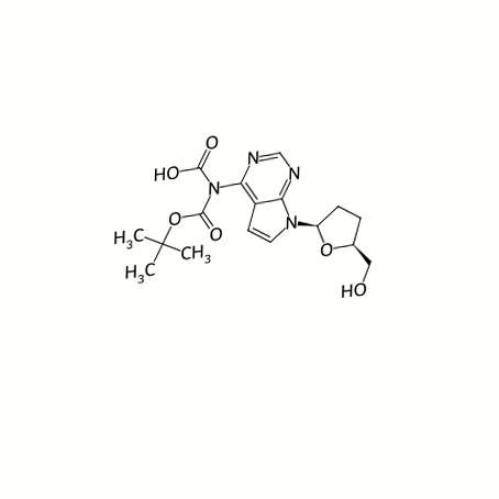 CC(C)(C)OC(=O)N(C(=O)O)c1ncnc2c1ccn2[C@H]1CC[C@@H](CO)O1